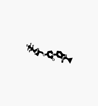 Cn1c(C2CC2)nc2ccc(-n3ccc(OCc4csc(C(F)(F)C(F)(F)F)n4)cc3=O)cc21